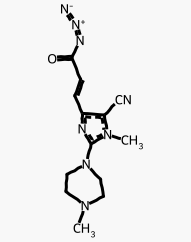 CN1CCN(c2nc(/C=C/C(=O)N=[N+]=[N-])c(C#N)n2C)CC1